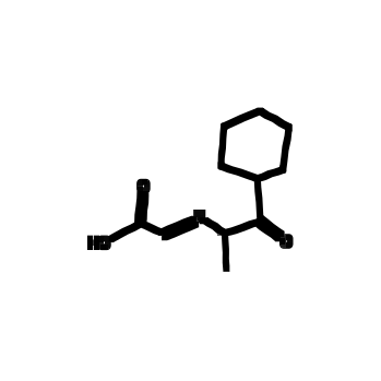 C[C](N=CC(=O)O)C(=O)C1CCCCC1